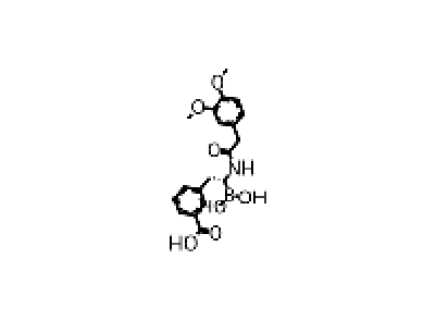 COc1ccc(CC(=O)N[C@@H](Cc2cccc(C(=O)O)c2)B(O)O)cc1OC